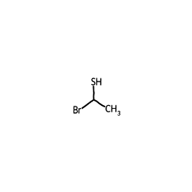 CC(S)Br